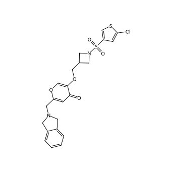 O=c1cc(CN2Cc3ccccc3C2)occ1OCC1CN(S(=O)(=O)c2csc(Cl)c2)C1